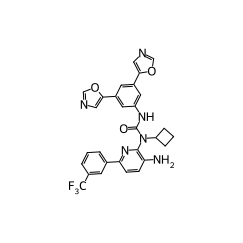 Nc1ccc(-c2cccc(C(F)(F)F)c2)nc1N(C(=O)Nc1cc(-c2cnco2)cc(-c2cnco2)c1)C1CCC1